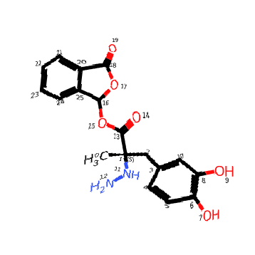 C[C@@](Cc1ccc(O)c(O)c1)(NN)C(=O)OC1OC(=O)c2ccccc21